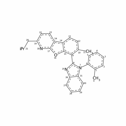 Cc1ccccc1-n1c(-c2c(C)ccc3c2oc2nc(CC(C)C)ccc23)nc2ccccc21